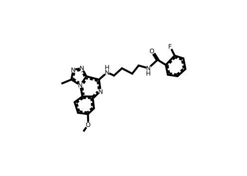 COc1ccc2c(c1)nc(NCCCCNC(=O)c1ccccc1F)c1nnc(C)n12